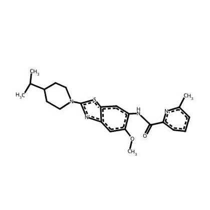 COc1cc2nc(N3CCC(C(C)C)CC3)sc2cc1NC(=O)c1cccc(C)n1